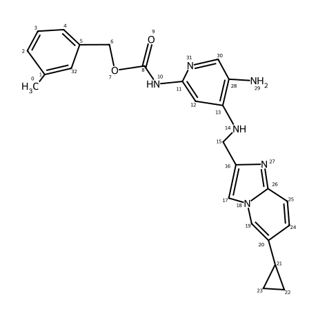 Cc1cccc(COC(=O)Nc2cc(NCc3cn4cc(C5CC5)ccc4n3)c(N)cn2)c1